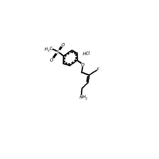 CS(=O)(=O)c1ccc(OC/C(F)=C\CN)cc1.Cl